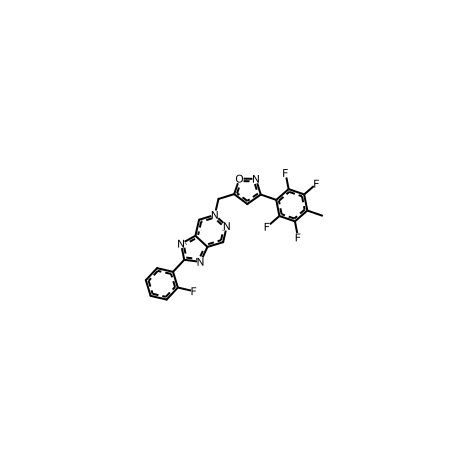 Cc1c(F)c(F)c(-c2cc(Cn3cc4nc(-c5ccccc5F)nc-4cn3)on2)c(F)c1F